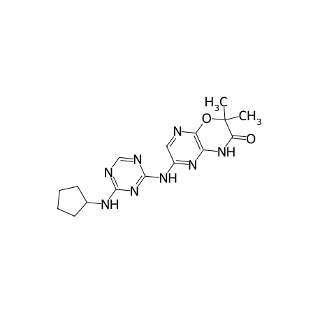 CC1(C)Oc2ncc(Nc3ncnc(NC4CCCC4)n3)nc2NC1=O